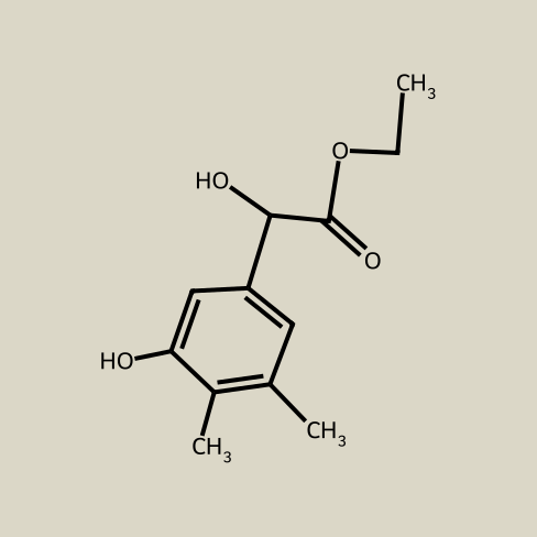 CCOC(=O)C(O)c1cc(C)c(C)c(O)c1